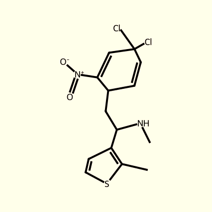 CNC(CC1C=CC(Cl)(Cl)C=C1[N+](=O)[O-])c1ccsc1C